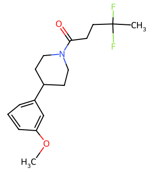 COc1cccc(C2CCN(C(=O)CCC(C)(F)F)CC2)c1